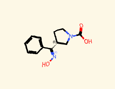 O=C(O)N1CC[C@@H](/C(=N/O)c2ccccc2)C1